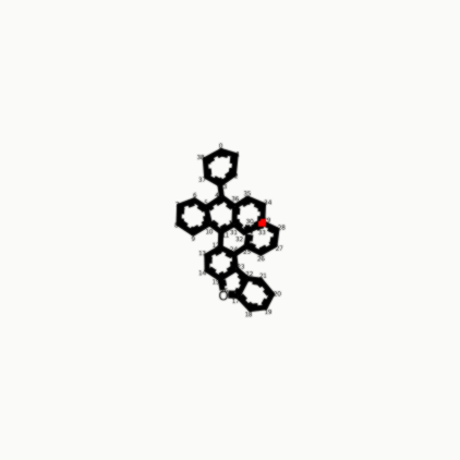 c1ccc(-c2c3ccccc3c(-c3ccc4oc5ccccc5c4c3-c3ccccn3)c3ccccc23)cc1